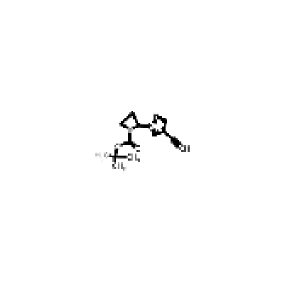 C#Cc1cnn(C2CCN2C(=O)OC(C)(C)C)c1